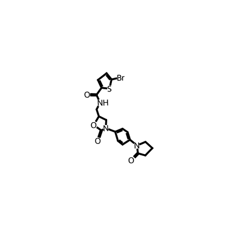 O=C(NCC1CN(c2ccc(N3CCCC3=O)cc2)C(=O)O1)c1ccc(Br)s1